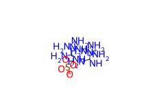 N=C(N)[N+](N)(N)N.N=C(N)[N+](N)(N)N.O=S(=O)([O-])[O-]